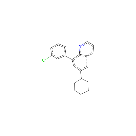 Clc1cccc(-c2cc(C3CCCCC3)cc3cccnc23)c1